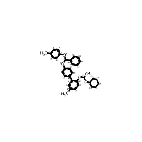 Cc1ccc(OC(Oc2ccc(-c3cc(C)ccc3OC(C)OC3CCCCC3)cc2)c2ccccc2)cc1